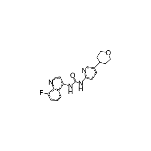 O=C(Nc1ccc(C2CCOCC2)cn1)Nc1ccnc2c(F)cccc12